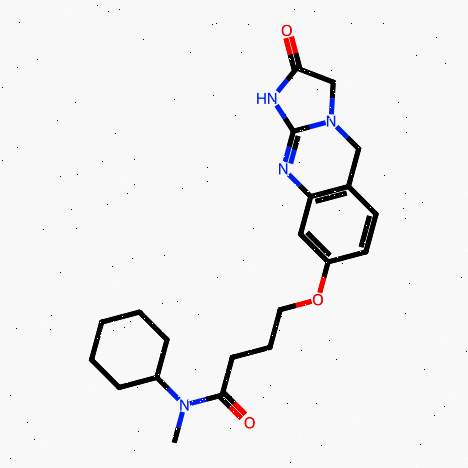 CN(C(=O)CCCOc1ccc2c(c1)N=C1NC(=O)CN1C2)C1CCCCC1